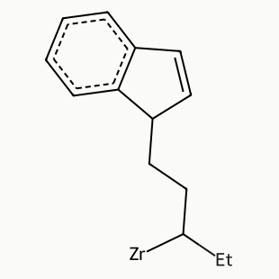 CC[CH]([Zr])CCC1C=Cc2ccccc21